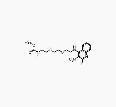 CC(C)(C)OC(=O)NCCOCCOCCNc1c([N+](=O)[O-])c(Cl)nc2ccccc12